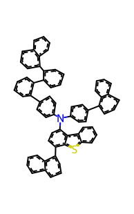 c1ccc(-c2ccccc2-c2cccc3ccccc23)c(-c2ccc(N(c3ccc(-c4cccc5ccccc45)cc3)c3ccc(-c4cccc5ccccc45)c4sc5ccccc5c34)cc2)c1